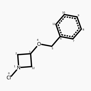 ClN1CC(OCc2ccccc2)C1